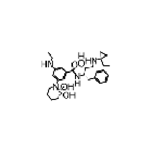 CCNc1cc(C(=O)N[C@@H](Cc2ccccc2)[C@@H](O)CNC2(CC)CC2)cc(N2CCCCS2(O)O)c1